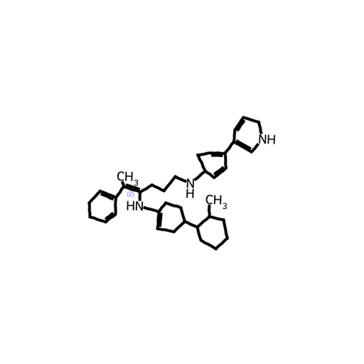 C/C(C1=CCCC=C1)=C(\CCCNC1C=CC(C2=CNCC=C2)=CC1)NC1=CCC(C2CCCCC2C)CC1